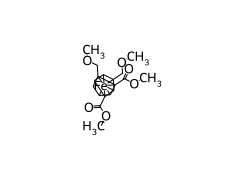 COC[C]12[CH]3[CH]4[C]5(C(=O)OC)[CH]1[Fe]34251678[CH]2[CH]1[C]6(COC)[C]7(C(=O)OC)[CH]28